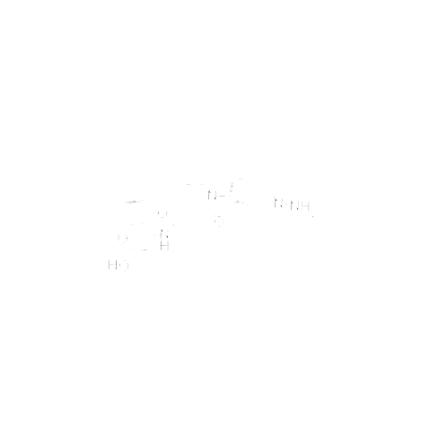 NN=Cc1ccc(N2CCCC(CC(=O)NC(CC(=O)O)c3ccccc3)C2=O)cc1